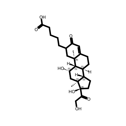 C[C@]12CC(CCCCC(=O)O)C(=O)C=C1CC[C@@H]1[C@@H]2[C@@H](O)C[C@@]2(C)[C@H]1CC[C@]2(O)C(=O)CO